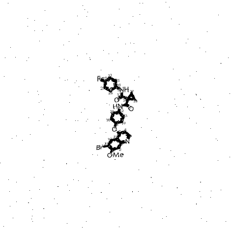 COc1cc2nccc(Oc3ccc(NC(=O)C4(C(=O)Nc5ccc(F)cc5)CC4)cc3)c2cc1Br